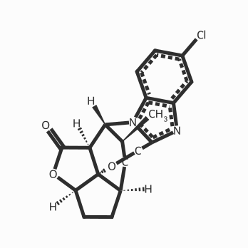 C[C@H]1C[C@H]2CC[C@H]3OC(=O)[C@H]4[C@@H]1n1c(nc5cc(Cl)ccc51)CO[C@]234